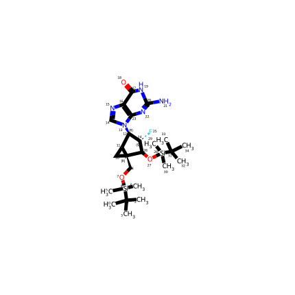 CC(C)(C)[Si](C)(C)OC[C@@]12CC1[C@@H](n1cnc3c(=O)[nH]c(N)nc31)[C@H](F)C2O[Si](C)(C)C(C)(C)C